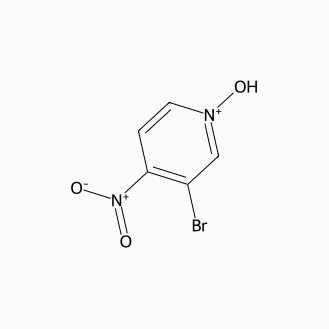 O=[N+]([O-])c1cc[n+](O)cc1Br